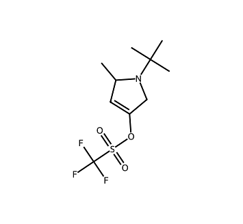 CC1C=C(OS(=O)(=O)C(F)(F)F)CN1C(C)(C)C